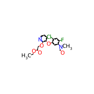 CCOC(=O)COc1ncccc1Oc1cc(N(C)C=O)c(F)cc1Cl